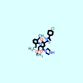 CCc1cccc(CC)c1-n1c(CCOC)c(C(=O)N2CCNCC2)cc(-c2nc(-c3ccc(Cl)cc3)cs2)c1=O